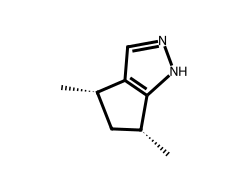 C[C@@H]1C[C@H](C)c2cn[nH]c21